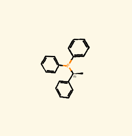 C[C@@H](c1ccccc1)P(c1ccccc1)c1ccccc1